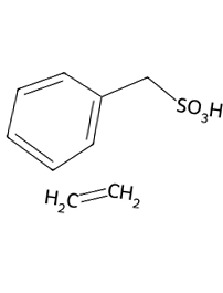 C=C.O=S(=O)(O)Cc1ccccc1